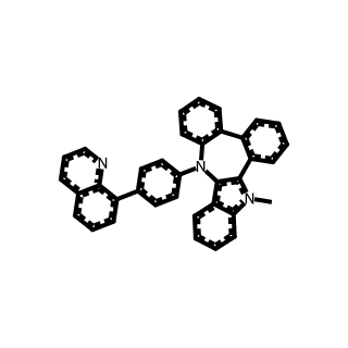 Cn1c2c(c3ccccc31)N(c1ccc(-c3cccc4cccnc34)cc1)c1ccccc1-c1ccccc1-2